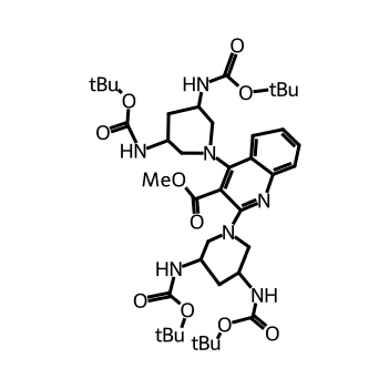 COC(=O)c1c(N2CC(NC(=O)OC(C)(C)C)CC(NC(=O)OC(C)(C)C)C2)nc2ccccc2c1N1CC(NC(=O)OC(C)(C)C)CC(NC(=O)OC(C)(C)C)C1